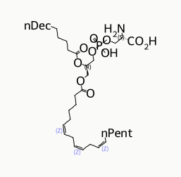 CCCCC/C=C\C/C=C\C/C=C\CCCCC(=O)OC[C@H](COP(=O)(O)OC[C@H](N)C(=O)O)OC(=O)CCCCCCCCCCCCCC